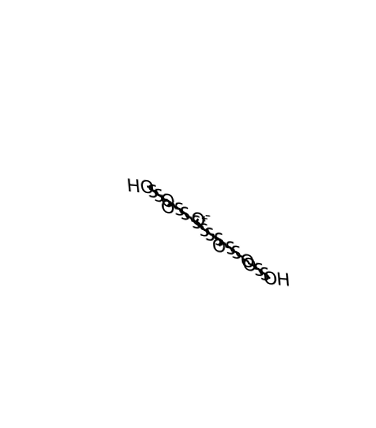 O=C(CCSCSCCC[S+]([O-])CCSCSCCSC(=O)CCSCSCCCOOCCSCSCO)OCCSCSCO